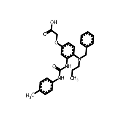 CCCN(Cc1ccccc1)c1ccc(OCC(=O)O)cc1NC(=O)Nc1ccc(C)cc1